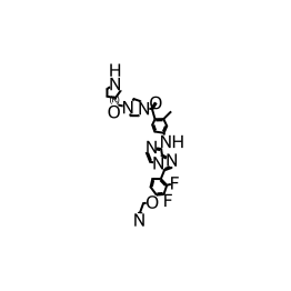 Cc1cc(Nc2nccn3c(-c4ccc(OCC#N)c(F)c4F)cnc23)ccc1C(=O)N1CCN(C(=O)[C@@H]2CCNC2)CC1